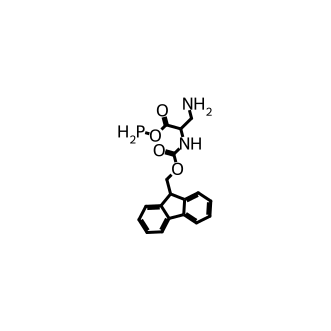 NCC(NC(=O)OCC1c2ccccc2-c2ccccc21)C(=O)OP